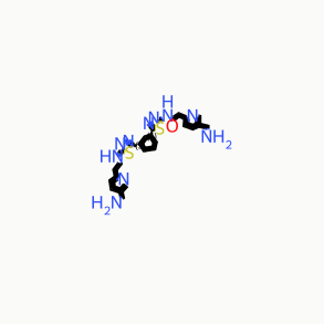 NCc1ccc(CCNc2nnc([C@H]3CCC[C@H](c4nnc(NC(=O)Cc5ccc(CN)cn5)s4)C3)s2)nc1